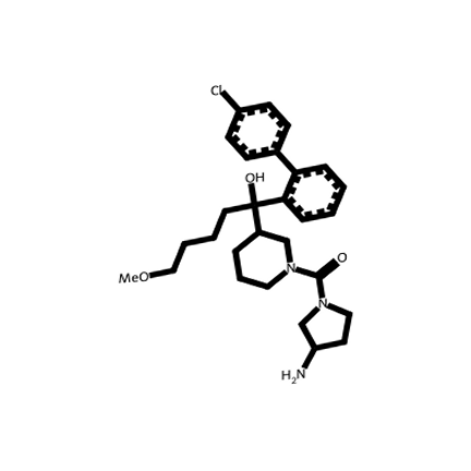 COCCCCC(O)(c1ccccc1-c1ccc(Cl)cc1)C1CCCN(C(=O)N2CCC(N)C2)C1